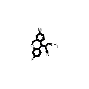 CC/C(C#N)=C1\c2ccc(Br)cc2COc2cc(F)ccc21